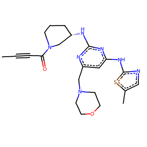 CC#CC(=O)N1CCC[C@H](Nc2nc(CN3CCOCC3)cc(Nc3ncc(C)s3)n2)C1